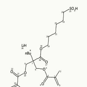 C=C(C)C(=O)OCC(CCCC)(COC(=O)C(=C)C)C(=O)OCCCCCCS(=O)(=O)O.[LiH]